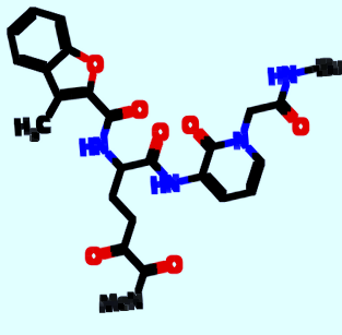 CCC(C)NC(=O)Cn1cccc(NC(=O)C(CCC(=O)C(=O)NC)NC(=O)c2oc3ccccc3c2C)c1=O